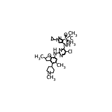 Cc1cc(Nc2ncc(Cl)c(Nc3cn(C4CC4)nc3S(=O)(=O)C(C)C)n2)c2c(c1C1CCN(C)CC1)CC(C)O2